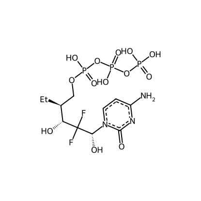 CC[C@@H](COP(=O)(O)OP(=O)(O)OP(=O)(O)O)[C@@H](O)C(F)(F)[C@@H](O)n1ccc(N)nc1=O